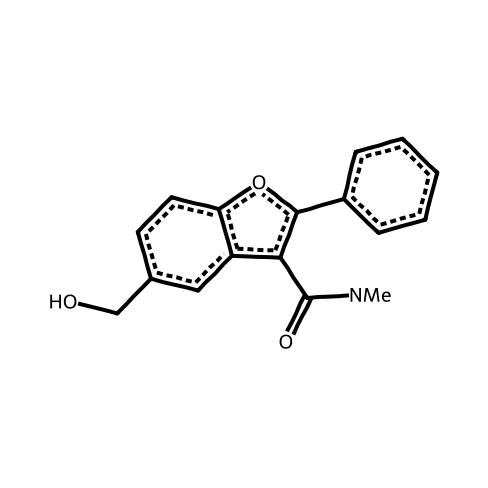 CNC(=O)c1c(-c2ccccc2)oc2ccc(CO)cc12